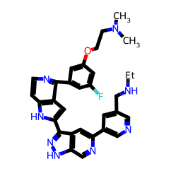 CCNCc1cncc(-c2cc3c(-c4cc5c(-c6cc(F)cc(OCCN(C)C)c6)nccc5[nH]4)n[nH]c3cn2)c1